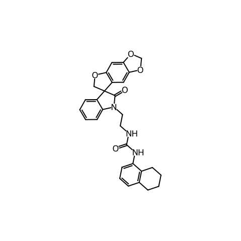 O=C(NCCN1C(=O)C2(COc3cc4c(cc32)OCO4)c2ccccc21)Nc1cccc2c1CCCC2